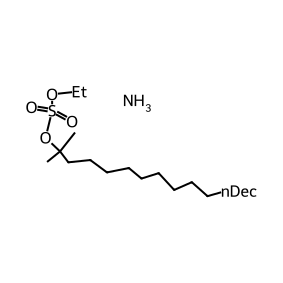 CCCCCCCCCCCCCCCCCCCC(C)(C)OS(=O)(=O)OCC.N